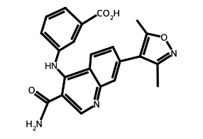 Cc1noc(C)c1-c1ccc2c(Nc3cccc(C(=O)O)c3)c(C(N)=O)cnc2c1